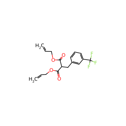 C=CCOC(=O)C(Cc1cccc(C(F)(F)F)c1)C(=O)OCC=C